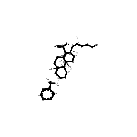 CC(C)CCC[C@@H](C)[C@H]1CC(=O)C2=C3CC[C@H]4C[C@@H](OC(=O)c5ccccc5)CC[C@]4(C)[C@H]3CC[C@@]21C